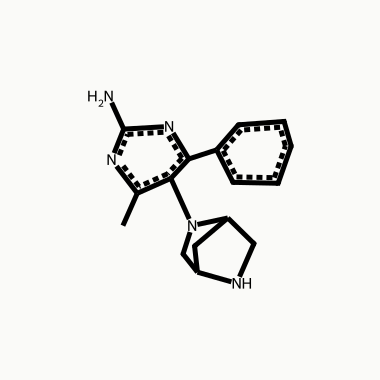 Cc1nc(N)nc(-c2ccccc2)c1N1CC2CC1CN2